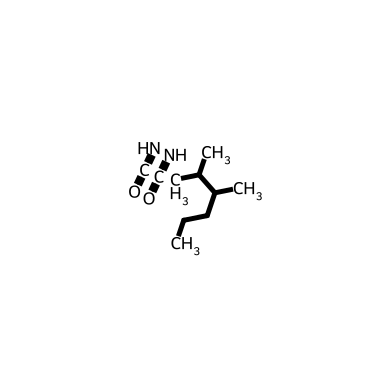 CCCC(C)C(C)C.N=C=O.N=C=O